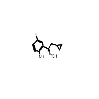 O/N=C(\CC1CC1)c1cc(F)ccc1O